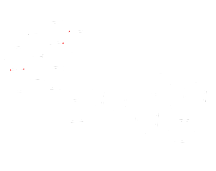 c1ccc(-c2cc(-c3cccc4c3sc3ccc(-c5cccc([Si](c6ccccc6)(c6ccccc6)c6ccccc6)c5)cc34)cc(-c3ccccc3)c2B2c3ccccc3Oc3ccccc32)cc1